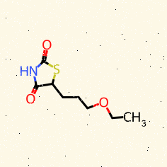 CCOCCCC1SC(=O)NC1=O